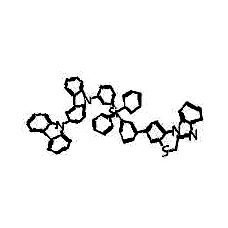 c1ccc([Si](c2ccccc2)(c2cccc(-c3ccc4c(c3)SCc3nc5ccccc5n3-4)c2)c2cccc(-n3c4ccccc4c4cc(-n5c6ccccc6c6ccccc65)ccc43)c2)cc1